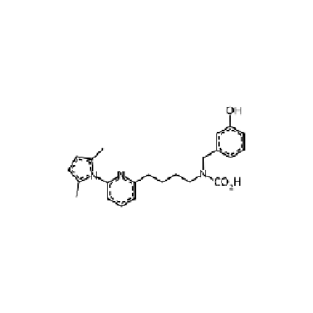 Cc1ccc(C)n1-c1cccc(CCCCN(Cc2cccc(O)c2)C(=O)O)n1